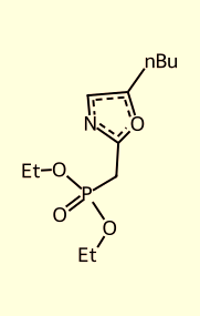 CCCCc1cnc(CP(=O)(OCC)OCC)o1